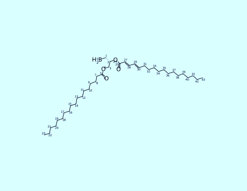 BC[C@@H](COC(=O)CCCCCCCCCCCCCCCCC)OC(=O)/C=C/C=C/CCCCCCCCCCCCC